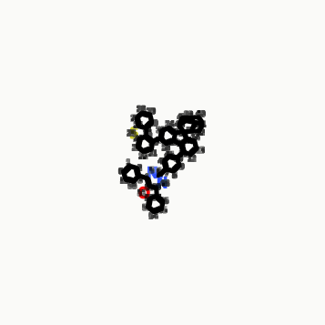 c1ccc(-c2nc(-c3ccc(-c4cccc5c4-c4cc(-c6cccc7sc8ccccc8c67)ccc4C54C5CC6CC(C5)CC4C6)cc3)nc3c2oc2ccccc23)cc1